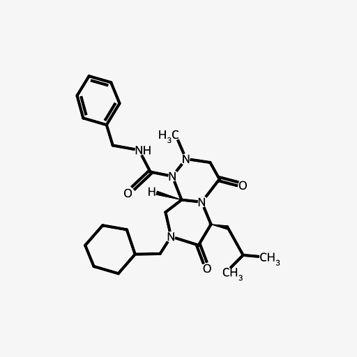 CC(C)C[C@H]1C(=O)N(CC2CCCCC2)C[C@H]2N1C(=O)CN(C)N2C(=O)NCc1ccccc1